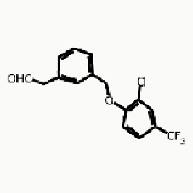 O=CCc1cccc(COc2ccc(C(F)(F)F)cc2Cl)c1